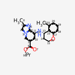 Cc1cn2cc(C(=O)OC(C)C)cc(N[C@H]3CCOc4cccc(C)c43)c2n1